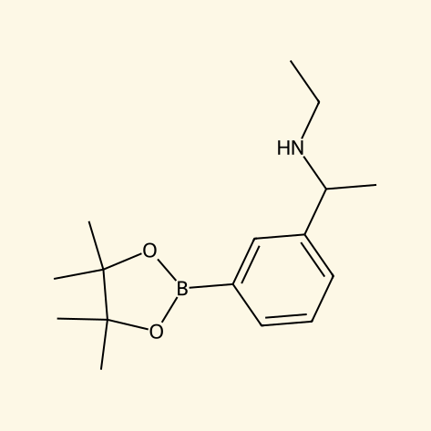 CCNC(C)c1cccc(B2OC(C)(C)C(C)(C)O2)c1